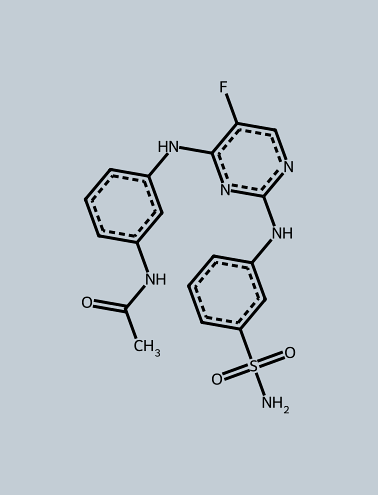 CC(=O)Nc1cccc(Nc2nc(Nc3cccc(S(N)(=O)=O)c3)ncc2F)c1